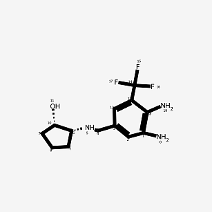 Nc1cc(CN[C@@H]2CCC[C@@H]2O)cc(C(F)(F)F)c1N